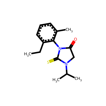 CCc1cccc(C)c1N1C(=O)CN(C(C)C)C1=S